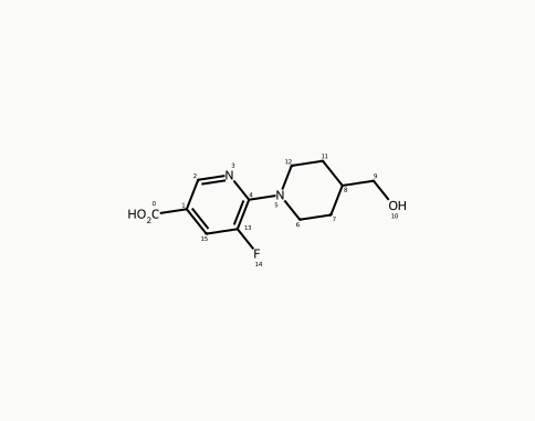 O=C(O)c1cnc(N2CCC(CO)CC2)c(F)c1